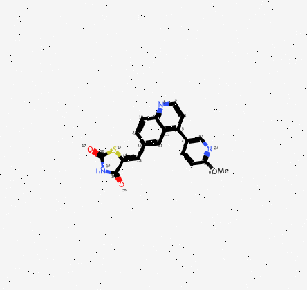 COc1ccc(-c2ccnc3ccc(/C=C4\SC(=O)NC4=O)cc23)cn1